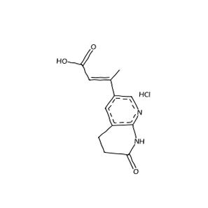 CC(=CC(=O)O)c1cnc2c(c1)CCC(=O)N2.Cl